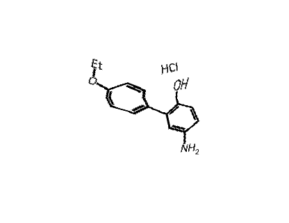 CCOc1ccc(-c2cc(N)ccc2O)cc1.Cl